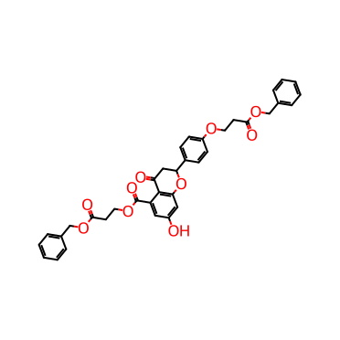 O=C(CCOC(=O)c1cc(O)cc2c1C(=O)CC(c1ccc(OCCC(=O)OCc3ccccc3)cc1)O2)OCc1ccccc1